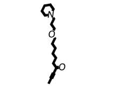 CC#CC(=O)CCCCCCOCCCN1CCCCC1